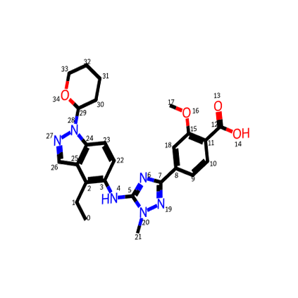 CCc1c(Nc2nc(-c3ccc(C(=O)O)c(OC)c3)nn2C)ccc2c1cnn2C1CCCCO1